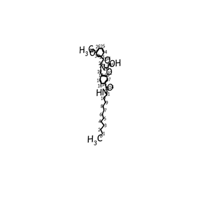 CCCCCCCCCCCCNC(=O)c1ccc(CN(CCc2cccc(OC)c2)C(=O)C(=O)O)cc1